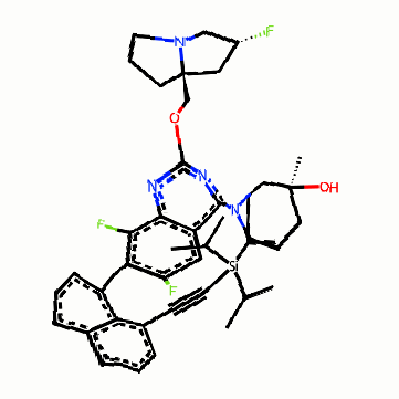 CC(C)[Si](C#Cc1cccc2cccc(-c3c(F)cc4c(N5CCC[C@](C)(O)C5)nc(OC[C@@]56CCCN5C[C@H](F)C6)nc4c3F)c12)(C(C)C)C(C)C